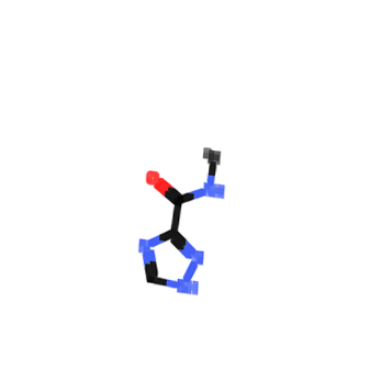 [2H]NC(=O)c1nc[nH]n1